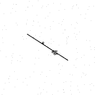 CCCCCCCCC=CCCCCCCCCCCCC(=O)CCCCCCCCCCCCCCC(=O)N[C@H](CO)CCCCCCCCCCCCCCCCCC